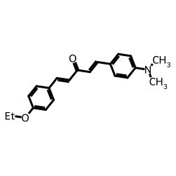 CCOc1ccc(C=CC(=O)C=Cc2ccc(N(C)C)cc2)cc1